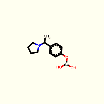 CC(c1ccc(OB(O)O)cc1)N1CCCC1